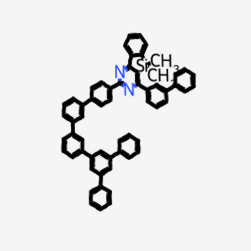 C[Si]1(C)c2ccccc2-c2nc(-c3ccc(-c4cccc(-c5cccc(-c6cc(-c7ccccc7)cc(-c7ccccc7)c6)c5)c4)cc3)nc(-c3cccc(-c4ccccc4)c3)c21